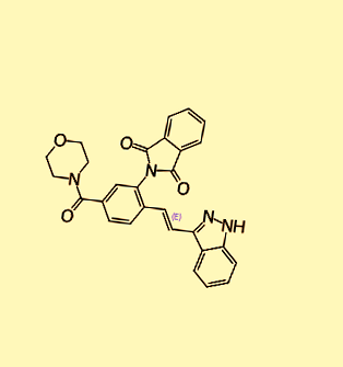 O=C(c1ccc(/C=C/c2n[nH]c3ccccc23)c(N2C(=O)c3ccccc3C2=O)c1)N1CCOCC1